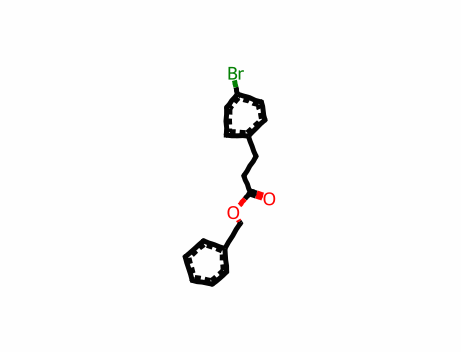 O=C(CCc1ccc(Br)cc1)OCc1ccccc1